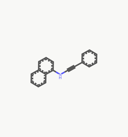 C(#Cc1ccccc1)Nc1cccc2ccccc12